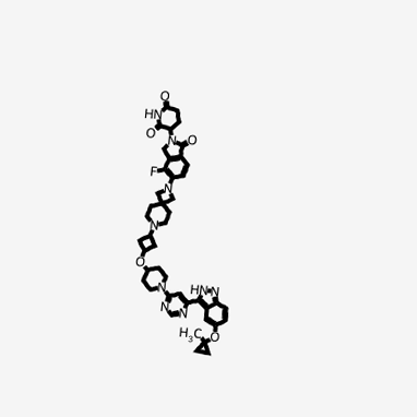 CC1(Oc2ccc3n[nH]c(-c4cc(N5CCC(OC6CC(N7CCC8(CC7)CN(c7ccc9c(c7F)CN(C7CCC(=O)NC7=O)C9=O)C8)C6)CC5)ncn4)c3c2)CC1